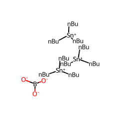 CCC[CH2][Sn+]([CH2]CCC)[CH2]CCC.CCC[CH2][Sn+]([CH2]CCC)[CH2]CCC.CCC[CH2][Sn+]([CH2]CCC)[CH2]CCC.[O-]B([O-])[O-]